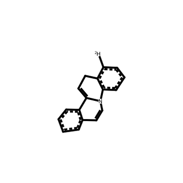 [2H]c1cccc2c1CC=C1c3ccccc3C=CN12